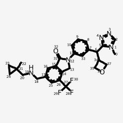 Cn1cnnc1C(c1cccc(N2Cc3c(cc(CNCC4(C)CC4)cc3C(F)(F)F)C2=O)c1)C1COC1